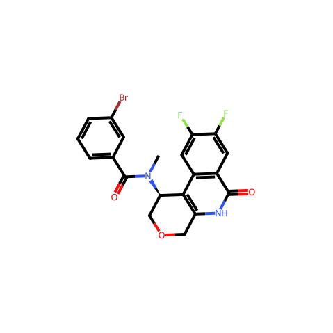 CN(C(=O)c1cccc(Br)c1)[C@@H]1COCc2[nH]c(=O)c3cc(F)c(F)cc3c21